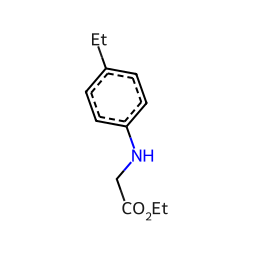 CCOC(=O)CNc1ccc(CC)cc1